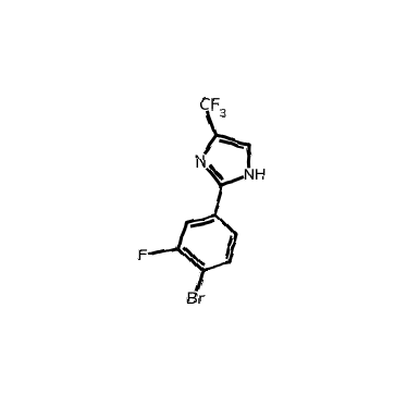 Fc1cc(-c2nc(C(F)(F)F)c[nH]2)ccc1Br